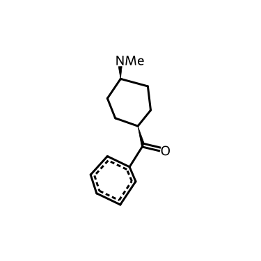 CN[C@H]1CC[C@@H](C(=O)c2ccccc2)CC1